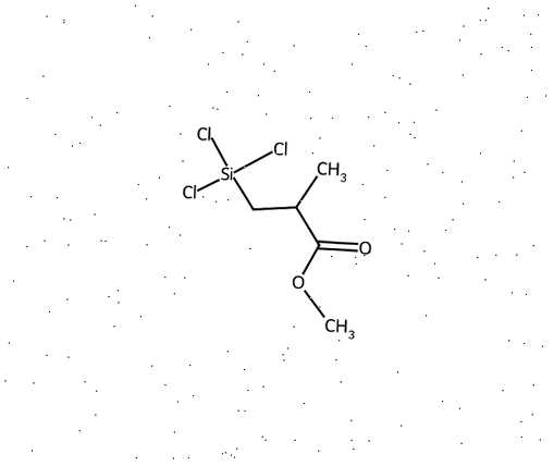 COC(=O)C(C)C[Si](Cl)(Cl)Cl